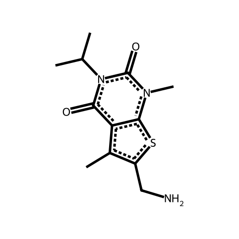 Cc1c(CN)sc2c1c(=O)n(C(C)C)c(=O)n2C